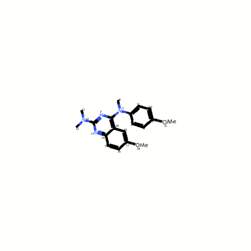 COc1ccc(N(C)c2nc(N(C)C)nc3ccc(OC)cc23)cc1